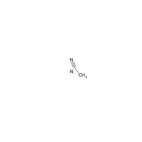 CC#N.[N]